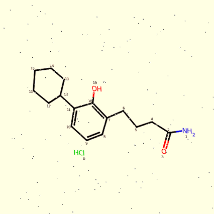 Cl.NC(=O)CCCc1cccc(C2CCCCC2)c1O